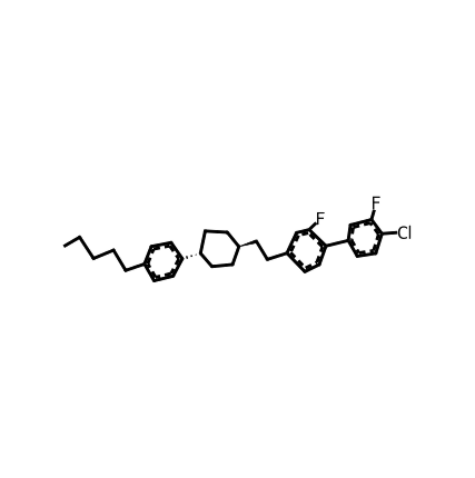 CCCCCc1ccc([C@H]2CC[C@H](CCc3ccc(-c4ccc(Cl)c(F)c4)c(F)c3)CC2)cc1